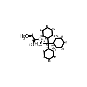 C=CC(=O)O[SiH2]C(C1CCCCC1)(C1CCCCC1)C1CCCCC1